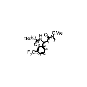 CON(C)C(=O)CC(NC(=O)OC(C)(C)C)c1cccc(C(F)(F)F)c1